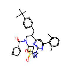 Cc1cccc(C)c1-c1cc(C(Cc2ccc(C(C)(C)C)cc2)CN(C(=O)C2=CCC=C2)C2CC3(CC3)C2)nc(N[SH](=O)=O)n1